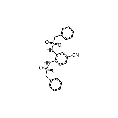 N#Cc1ccc(NS(=O)(=O)Cc2ccccc2)c(NS(=O)(=O)Cc2ccccc2)c1